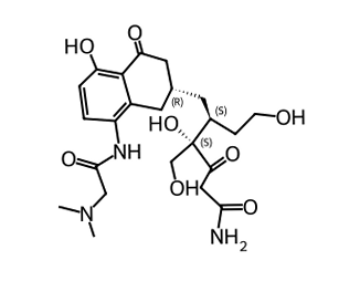 CN(C)CC(=O)Nc1ccc(O)c2c1C[C@@H](C[C@@H](CCO)[C@](O)(CO)C(=O)CC(N)=O)CC2=O